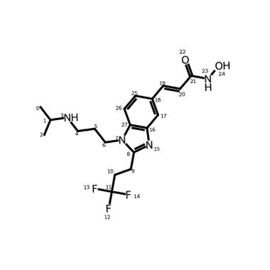 CC(C)NCCCn1c(CCC(F)(F)F)nc2cc(C=CC(=O)NO)ccc21